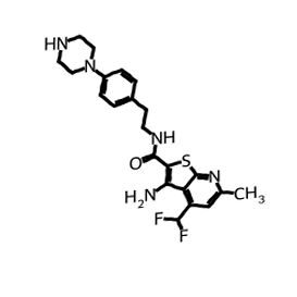 Cc1cc(C(F)F)c2c(N)c(C(=O)NCCc3ccc(N4CCNCC4)cc3)sc2n1